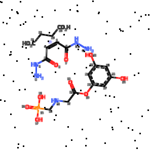 NNC(=O)/C=C\C(=O)NN.O=C(CNCP(=O)(O)O)Oc1cc(O)cc(O)c1.O=C(O)CCC(=O)O